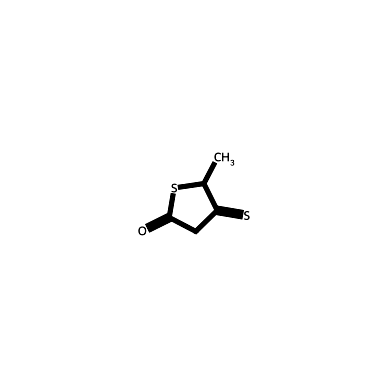 CC1SC(=O)CC1=S